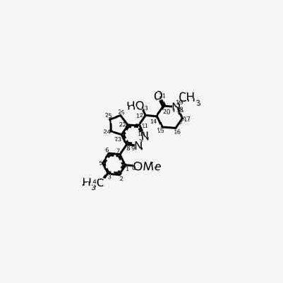 COc1cc(C)ccc1-c1nnc(C(O)C2CCCN(C)C2=O)c2c1CCC2